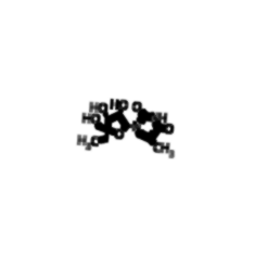 CC[C@]1(CO)O[C@@H](n2cc(C)c(=O)[nH]c2=O)[C@H](O)[C@@H]1O